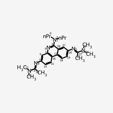 CCCN(CCC)c1nc2cc(/N=C(\C)N(C)C)ccc2c2ccc(/N=C(\C)N(C)C)cc12